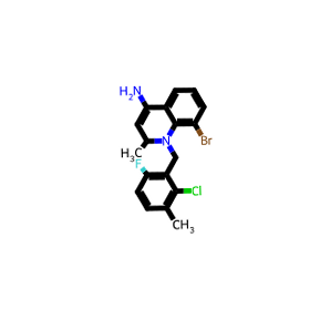 Cc1ccc(F)c(CN2c3c(Br)cccc3C(N)=CC2C)c1Cl